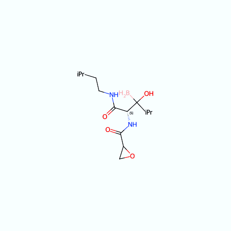 BC(O)(C(C)C)[C@H](NC(=O)C1CO1)C(=O)NCCC(C)C